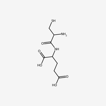 NC(CS)C(=O)NC(CCC(=O)O)C(=O)O